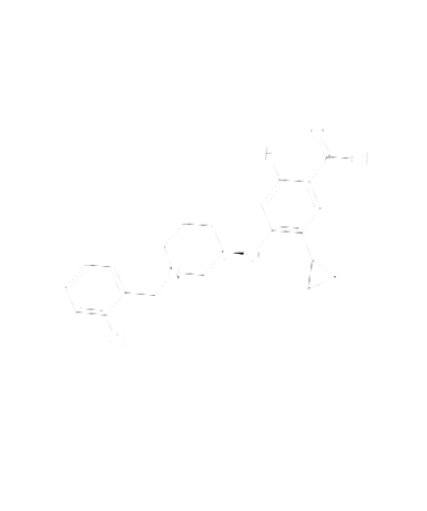 O=C(O)c1cc(C2CC2)c(O[C@@H]2CCCN(Cc3ccccc3Cl)C2)cc1F